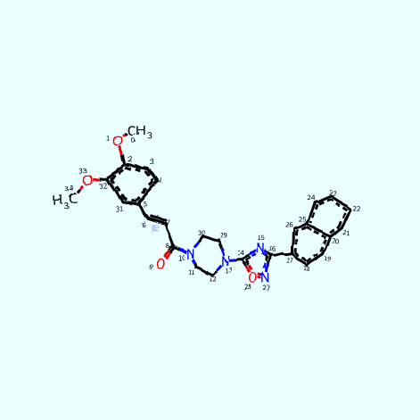 COc1ccc(/C=C/C(=O)N2CCN(c3nc(-c4ccc5ccccc5c4)no3)CC2)cc1OC